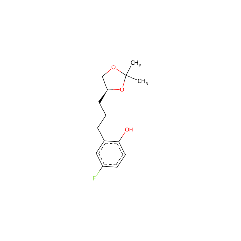 CC1(C)OC[C@H](CCCc2cc(F)ccc2O)O1